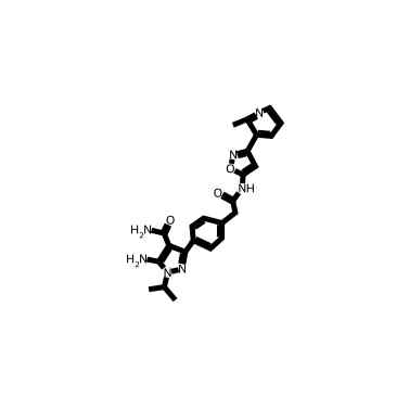 Cc1ncccc1-c1cc(NC(=O)Cc2ccc(-c3nn(C(C)C)c(N)c3C(N)=O)cc2)on1